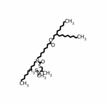 CCCCCCCCCCN(CCCCCCCC(=O)OCCC(CCCCCC)CCCCCCCC)C(=O)SCC(C)N(C)C